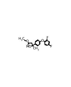 CCOC(=O)CC(C)(O)c1ccc(Oc2ccc(F)cc2F)cc1